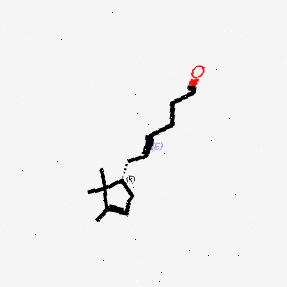 CC1=CC[C@@H](C/C=C/CCC=O)C1(C)C